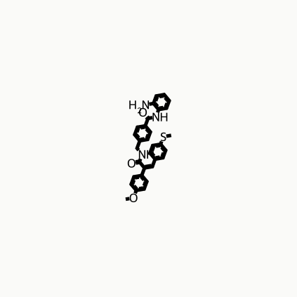 COc1ccc(C(=Cc2ccc(SC)cc2)C(=O)NCc2ccc(C(=O)Nc3ccccc3N)cc2)cc1